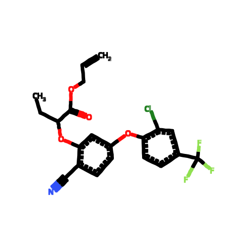 C=CCOC(=O)C(CC)Oc1cc(Oc2ccc(C(F)(F)F)cc2Cl)ccc1C#N